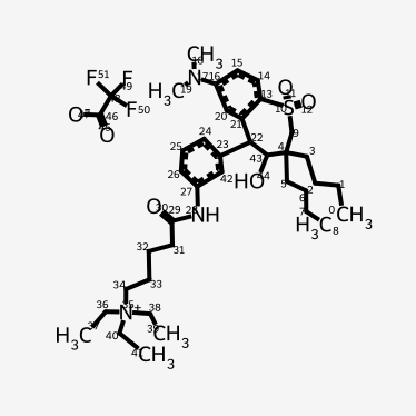 CCCCC1(CCCC)CS(=O)(=O)c2ccc(N(C)C)cc2C(c2cccc(NC(=O)CCCC[N+](CC)(CC)CC)c2)C1O.O=C([O-])C(F)(F)F